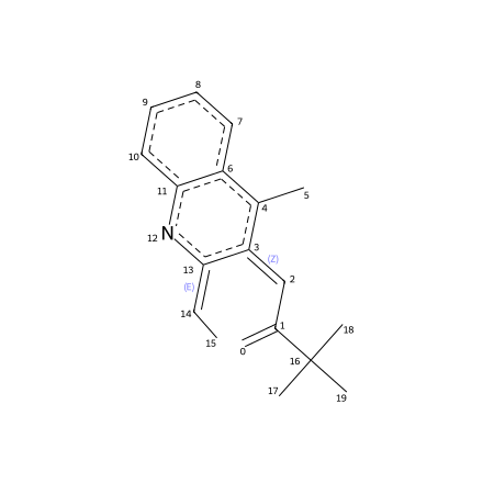 C=C(/C=c1/c(C)c2ccccc2n/c1=C/C)C(C)(C)C